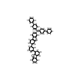 c1ccc(-c2ccc(N(c3ccc(-c4ccccc4)cc3)c3ccc4c(c3)sc3cc(-c5cccc(-c6cccc7c6oc6ccccc67)c5)ccc34)cc2)cc1